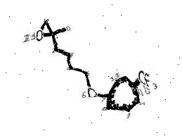 CC1(CCCCOc2cccc(C(F)(F)F)c2)CO1